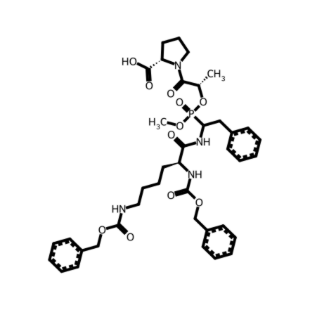 COP(=O)(O[C@@H](C)C(=O)N1CCC[C@H]1C(=O)O)C(Cc1ccccc1)NC(=O)[C@H](CCCCNC(=O)OCc1ccccc1)NC(=O)OCc1ccccc1